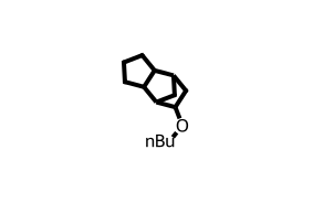 [CH2]CCCOC1CC2CC1C1CCCC21